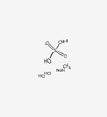 C.Cl.Cl.O=S(=O)(O)O.[NaH]